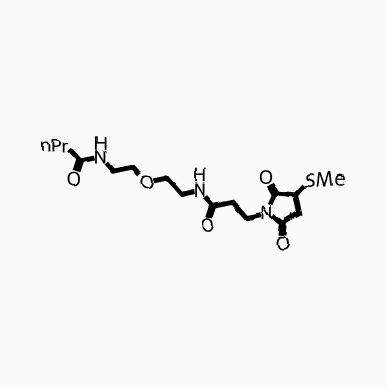 CCCC(=O)NCCOCCNC(=O)CCN1C(=O)CC(SC)C1=O